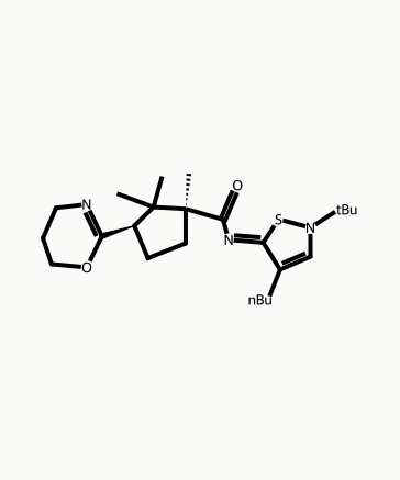 CCCCc1cn(C(C)(C)C)sc1=NC(=O)[C@@]1(C)CC[C@@H](C2=NCCCO2)C1(C)C